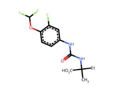 CCC(C)(NC(=O)Nc1ccc(OC(F)F)c(F)c1)C(=O)O